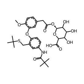 COc1ccc(CC(=O)O[C@@H]2OC(C(=O)O)C(O)C(O)C2O)cc1Oc1ccc(NC(=O)C(C)(C)C)cc1CSC(C)(C)C